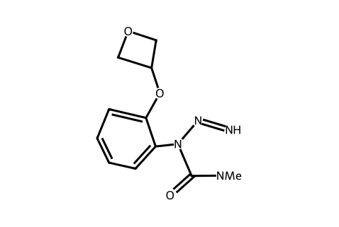 CNC(=O)N(N=N)c1ccccc1OC1COC1